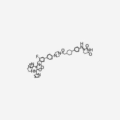 O=C1CC[C@@H](Nc2ccc(C3CCC(CC(=O)N4CCN(c5ccc(-c6cc(F)c7c(c6)C(=O)N([C@@H](C(=O)Nc6nccs6)c6ncn8c6CCC8)C7)cc5)CC4)CC3)cc2)C(=O)N1